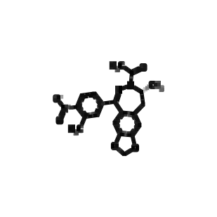 CC(=O)N1N=C(c2ccc([N+](=O)[O-])c(C)c2)c2cc3c(cc2C[C@H]1C)OCO3